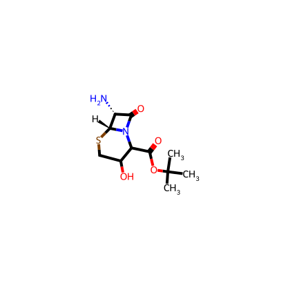 CC(C)(C)OC(=O)C1C(O)CS[C@@H]2[C@H](N)C(=O)N12